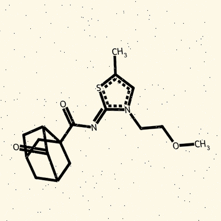 COCCn1cc(C)s/c1=N\C(=O)C12CC3CC(C1)C(=O)C2C3